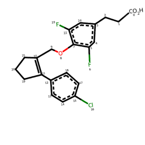 O=C(O)CCc1cc(F)c(OCC2=C(c3ccc(Cl)cc3)CCC2)c(F)c1